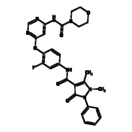 Cc1c(C(=O)Nc2ccc(Oc3cc(NC(=O)N4CCOCC4)ncn3)c(F)c2)c(=O)n(-c2ccccc2)n1C